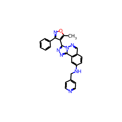 Cc1onc(-c2ccccc2)c1-c1nnc2c3cc(NCc4ccncc4)ccc3cnn12